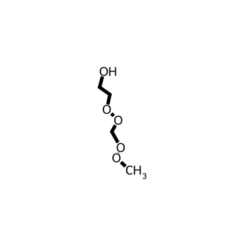 COOCOOCCO